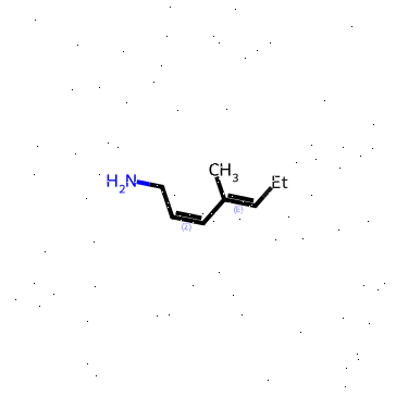 CC/C=C(C)/C=C\CN